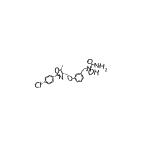 Cc1oc(-c2ccc(Cl)cc2)nc1COc1cccc(CN(O)C(N)=O)c1